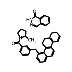 CC1CCCN1C(=O)c1cccc(Cc2cccc3ccc4c(c23)CCC2=C4C=CCC2)c1.O=c1[nH]ncc2ccccc12